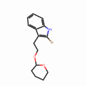 Brc1[nH]c2ccccc2c1CCOC1CCCCO1